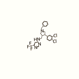 FC(F)(F)c1cc(NCC2CN(Cc3ccccc3)CC2c2ccc(Cl)c(Cl)c2)ncn1